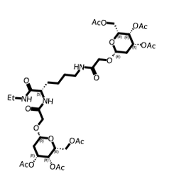 CCNC(=O)[C@H](CCCCNC(=O)CO[C@H]1C[C@@H](OC(C)=O)[C@@H](OC(C)=O)[C@@H](COC(C)=O)O1)NC(=O)CO[C@H]1C[C@@H](OC(C)=O)[C@@H](OC(C)=O)[C@@H](COC(C)=O)O1